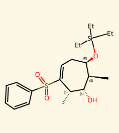 CC[Si](CC)(CC)O[C@@H]1CC=C(S(=O)(=O)c2ccccc2)[C@@H](C)[C@@H](O)[C@@H]1C